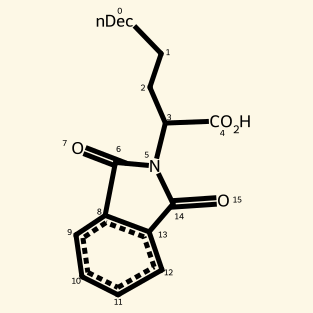 CCCCCCCCCCCCC(C(=O)O)N1C(=O)c2ccccc2C1=O